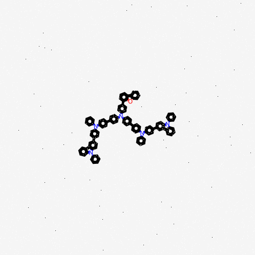 c1ccc(N(c2ccc(-c3ccc(N(c4ccc(-c5ccc(N(c6ccccc6)c6ccc(-c7ccc8c(c7)c7ccccc7n8-c7ccccc7)cc6)cc5)cc4)c4ccc(-c5cccc6c5oc5ccccc56)cc4)cc3)cc2)c2ccc(-c3ccc4c(c3)c3ccccc3n4-c3ccccc3)cc2)cc1